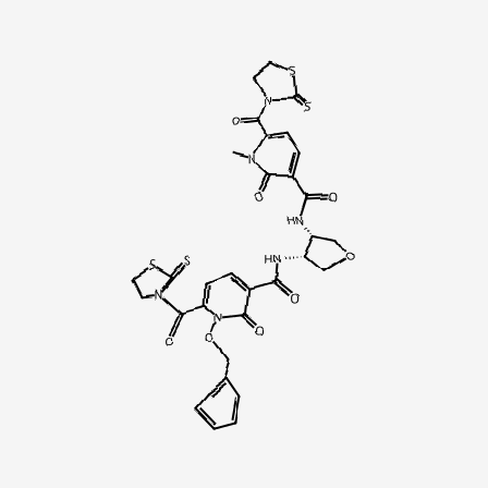 Cn1c(C(=O)N2CCSC2=S)ccc(C(=O)N[C@@H]2COC[C@@H]2NC(=O)c2ccc(C(=O)N3CCSC3=S)n(OCc3ccccc3)c2=O)c1=O